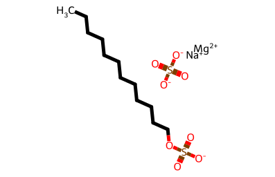 CCCCCCCCCCCCOS(=O)(=O)[O-].O=S(=O)([O-])[O-].[Mg+2].[Na+]